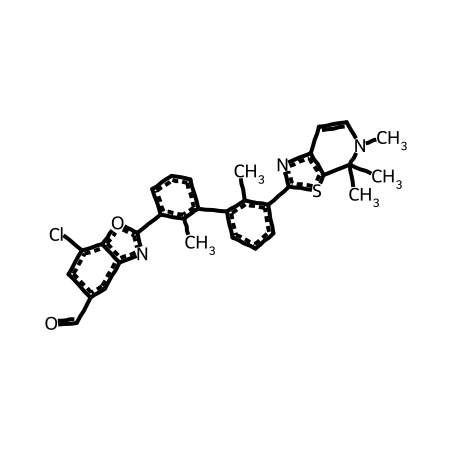 Cc1c(-c2nc3cc(C=O)cc(Cl)c3o2)cccc1-c1cccc(-c2nc3c(s2)C(C)(C)N(C)C=C3)c1C